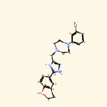 Clc1cccc(N2CCN(Cc3c[nH]c(-c4ccc5c(c4)CCO5)n3)CC2)c1